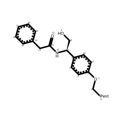 CCCC(C)COc1ccc([C@H](CO)NC(=O)Cc2ccccc2)cc1